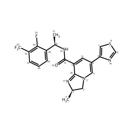 C[C@@H]1CN2C=C(c3cscn3)C=C(C(=O)N[C@H](C)c3cccc(C(F)(F)F)c3F)C2=N1